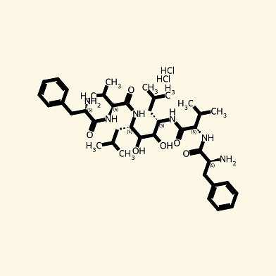 CC(C)C[C@H](NC(=O)[C@@H](NC(=O)[C@@H](N)Cc1ccccc1)C(C)C)C(O)C(O)[C@H](CC(C)C)NC(=O)[C@@H](NC(=O)[C@@H](N)Cc1ccccc1)C(C)C.Cl.Cl